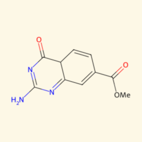 COC(=O)C1=CC2=NC(N)=NC(=O)C2C=C1